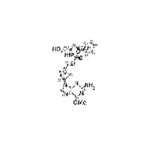 COc1nc(N)nc2c1ncn2[C@H]1C=C[C@@H](COP(=O)(N[C@@H](CC(=O)O)C(=O)O)Oc2ccccc2)C1